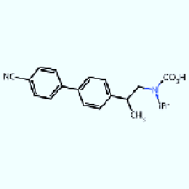 CC(CN(C(=O)O)C(C)C)c1ccc(-c2ccc(C#N)cc2)cc1